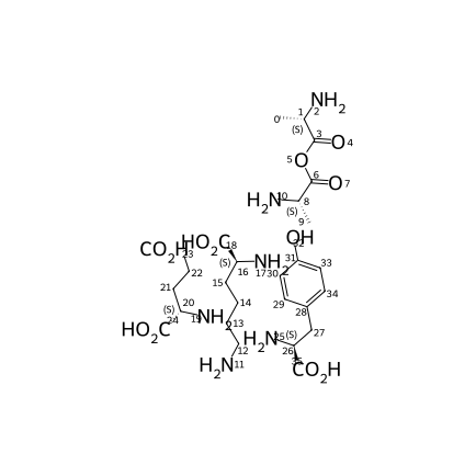 C[C@H](N)C(=O)OC(=O)[C@H](C)N.NCCCC[C@H](N)C(=O)O.N[C@@H](CCC(=O)O)C(=O)O.N[C@@H](Cc1ccc(O)cc1)C(=O)O